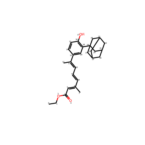 CCOC(=O)C=C(C)C=CC=C(C)c1ccc(O)c(C23CC4CC(CC(C4)C2)C3)c1